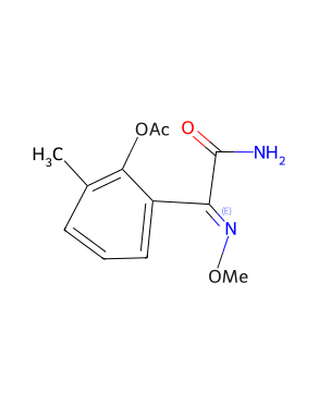 CO/N=C(/C(N)=O)c1cccc(C)c1OC(C)=O